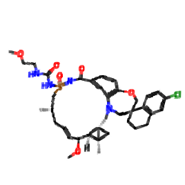 COCCNC(=O)N[S@@]1(=O)=NC(=O)c2ccc3c(c2)N(C[C@@]2(CCCc4cc(Cl)ccc42)CO3)C[C@]23C[C@@]2(C)[C@H]3[C@@H](OC)/C=C/C[C@H](C)C1